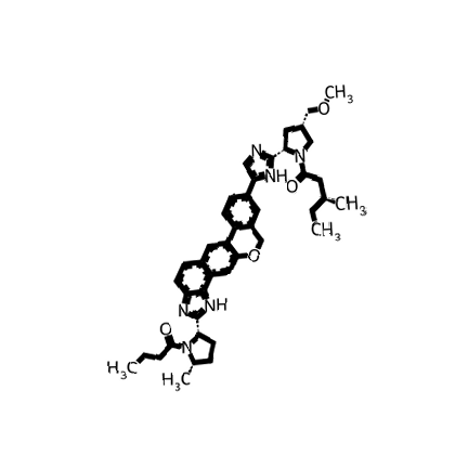 CCCC(=O)N1[C@@H](C)CC[C@H]1c1nc2ccc3cc4c(cc3c2[nH]1)OCc1cc(-c2cnc([C@@H]3C[C@H](COC)CN3C(=O)C[C@@H](C)CC)[nH]2)ccc1-4